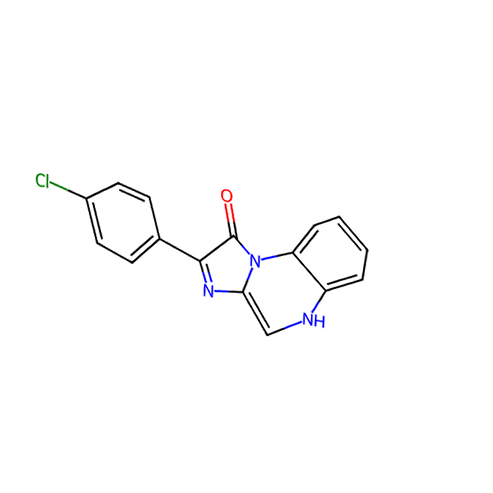 O=c1c(-c2ccc(Cl)cc2)nc2c[nH]c3ccccc3n1-2